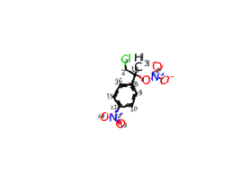 CC(CCl)(O[N+](=O)[O-])c1ccc([N+](=O)[O-])cc1